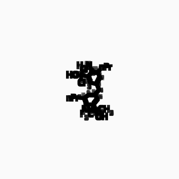 CCCc1cc(Cc2cc(CCC)c(N)c(C(C)(O)C(F)(F)F)c2)cc(C(C)(O)C(F)(F)F)c1N